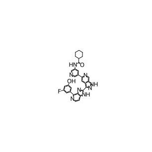 O=C(Nc1cncc(-c2cc3c(-c4nc5c(-c6cc(O)cc(F)c6)nccc5[nH]4)n[nH]c3cn2)c1)C1CCCCC1